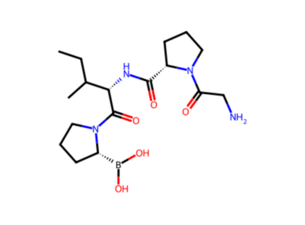 CCC(C)[C@H](NC(=O)[C@@H]1CCCN1C(=O)CN)C(=O)N1CCC[C@H]1B(O)O